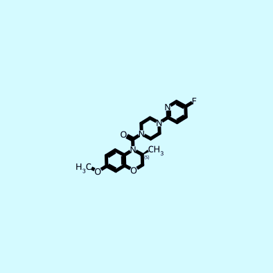 COc1ccc2c(c1)OC[C@H](C)N2C(=O)N1CCN(c2ccc(F)cn2)CC1